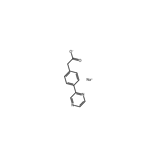 O=C([O-])Cc1ccc(-c2cnccn2)cc1.[Na+]